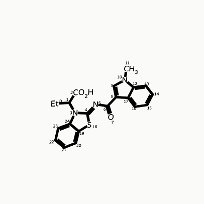 CCC(C(=O)O)n1c(=NC(=O)c2cn(C)c3ccccc23)sc2ccccc21